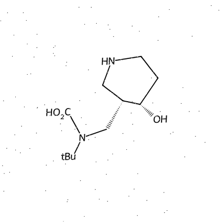 CC(C)(C)N(C[C@@H]1CNCC[C@@H]1O)C(=O)O